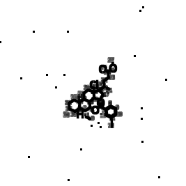 CC[C@H]1[C@@H](OC(=O)c2cccc(I)c2)C2C3CC[C@](Cl)([C@H](C)CCC(=O)OC)[C@@]3(C)CCC2[C@@]2(C)CC[C@@H](C)C[C@@H]12